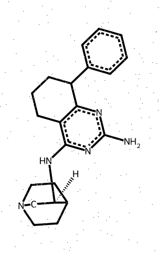 Nc1nc(N[C@@H]2CN3CCC2CC3)c2c(n1)C(c1ccccc1)CCC2